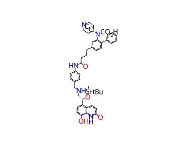 CC(C)(C)[Si](C)(C)O[C@@H](CNCc1ccc(NC(=O)CCCc2ccc(-c3ccccc3)c(N(C(=O)O)C34CCN(CC3)CC4)c2)cc1)c1ccc(O)c2[nH]c(=O)ccc12